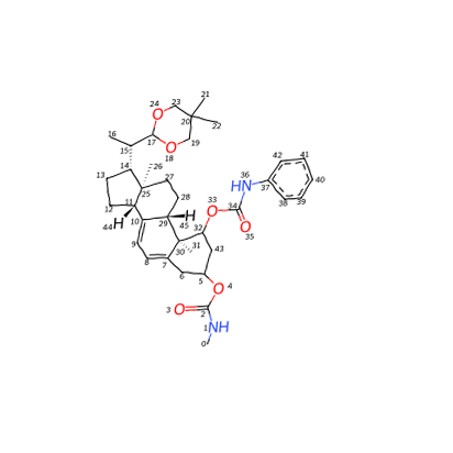 CNC(=O)OC1CC2=CC=C3[C@@H]4CC[C@H](C(C)C5OCC(C)(C)CO5)[C@@]4(C)CC[C@@H]3[C@@]2(C)C(OC(=O)Nc2ccccc2)C1